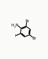 Nc1c(Br)cc(Br)cc1I